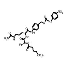 CC(C)[C@H](NC(=O)CCCC(=O)O)C(=O)N[C@@H](CCCNC(N)=O)C(=O)Nc1ccc(COC(=O)Oc2ccc([N+](=O)[O-])cc2)cc1